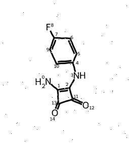 Nc1c(Nc2ccc(F)cc2)c(=O)c1=O